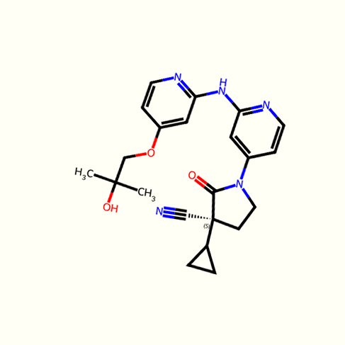 CC(C)(O)COc1ccnc(Nc2cc(N3CC[C@@](C#N)(C4CC4)C3=O)ccn2)c1